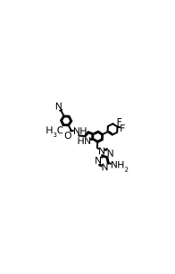 Cc1cc(C#N)ccc1C(=O)NCc1cc2cc(C3=CCC(F)(F)CC3)cc(Cn3cnc4c(N)ncnc43)c2[nH]1